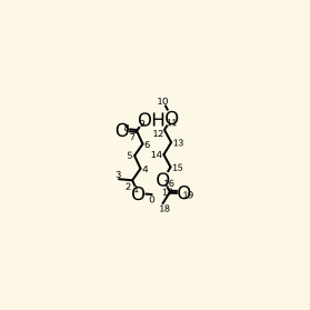 COC(C)CCCC(=O)O.COCCCCOC(C)=O